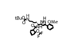 COc1ccccc1-c1cc([C@@H](CCCCNC(=O)OC(C)(C)C)NC(=O)c2ccccc2OC(F)F)n[nH]1